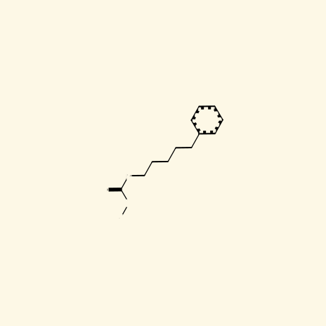 CC(C)(C)OC(=O)NCCCCCc1ccccc1